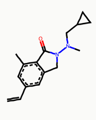 C=Cc1cc(C)c2c(c1)CN(N(C)CC1CC1)C2=O